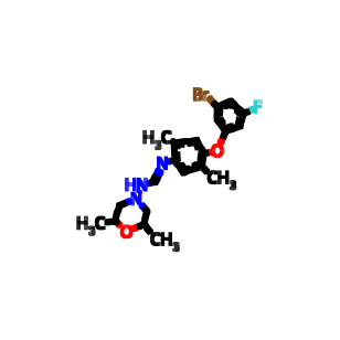 Cc1cc(Oc2cc(F)cc(Br)c2)c(C)cc1N=CNN1CC(C)OC(C)C1